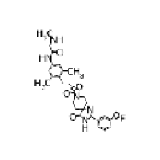 CNCC(=O)Nc1cc(C)c(CCS(=O)(=O)N2CCC3(CC2)N=C(c2cccc(OF)c2)NC3=O)c(C)c1